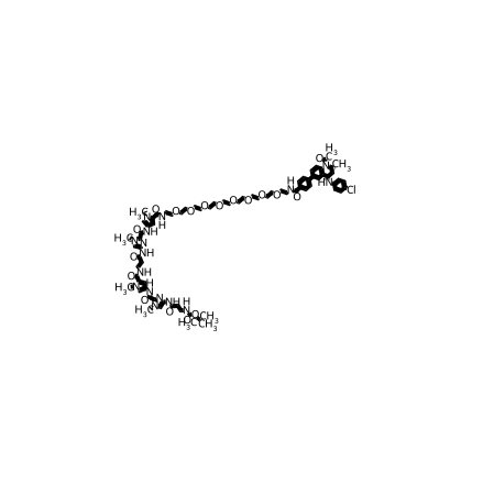 CC(=O)N1c2ccc(-c3ccc(C(=O)NCCOCCOCCOCCOCCOCCOCCOCCOCCNC(=O)c4cc(NC(=O)c5nc(NC(=O)CCNC(=O)c6cc(NC(=O)c7nc(NC(=O)CCNC(=O)OC(C)(C)C)cn7C)cn6C)cn5C)cn4C)cc3)cc2[C@H](Nc2ccc(Cl)cc2)C[C@@H]1C